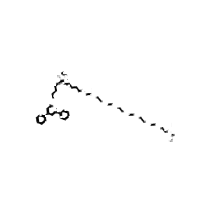 CC(C)(C)OC(=O)NCCOCCOCCOCCOCCOCCOCCOCCNC(=O)CCCCC1(C(C)(C)CCCCOc2cc(-c3ccccc3)cc(-c3ccccc3)n2)N=NN=N1